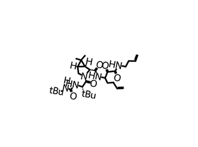 C=CCCNC(=O)C(=O)C(CCC=C)NC(=O)[C@@H]1[C@@H]2[C@H](CN1C(=O)[C@@H](NC(=O)NC(C)(C)C)C(C)(C)C)C2(C)C